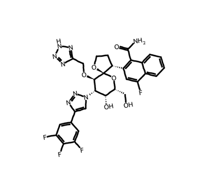 NC(=O)c1c([C@H]2CCO[C@]23O[C@H](CO)[C@H](O)[C@H](n2cc(-c4cc(F)c(F)c(F)c4)nn2)[C@H]3OCc2nn[nH]n2)cc(F)c2ccccc12